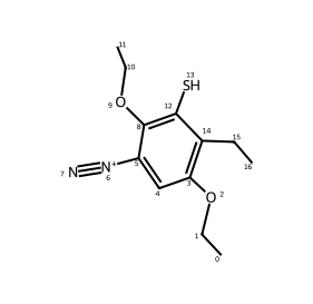 CCOc1cc([N+]#N)c(OCC)c(S)c1CC